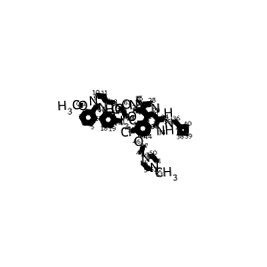 COc1ccccc1-c1nccc(COc2ccccc2C[C@@H](Oc2nsc3cnc(/C(C=N)=C/NCC4CCC4)c(-c4ccc(OCCN5CCN(C)CC5)c(Cl)c4C)c23)C(=O)O)n1